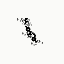 COc1ccncc1C(=O)NCc1ccc(-c2nn3c(c2C(N)=O)Nc2ccc(C(C)C)cc2CC3)cc1C